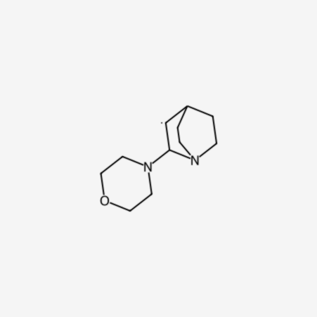 [CH]1C2CCN(CC2)C1N1CCOCC1